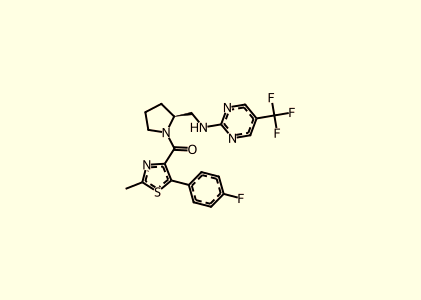 Cc1nc(C(=O)N2CCC[C@H]2CNc2ncc(C(F)(F)F)cn2)c(-c2ccc(F)cc2)s1